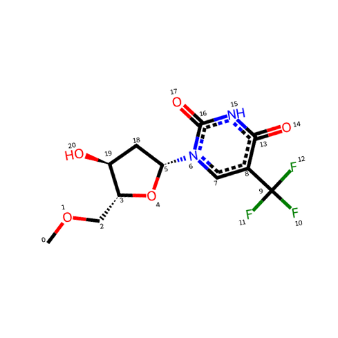 COC[C@H]1O[C@@H](n2cc(C(F)(F)F)c(=O)[nH]c2=O)C[C@@H]1O